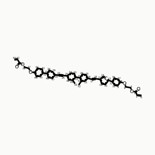 C=CC(=O)OCCOc1ccc(-c2ccc(C#Cc3ccc(-c4ccc(C#Cc5ccc(-c6ccc(OCCOC(=O)C=C)cc6)cc5)cc4C)c(C)c3)cc2)cc1